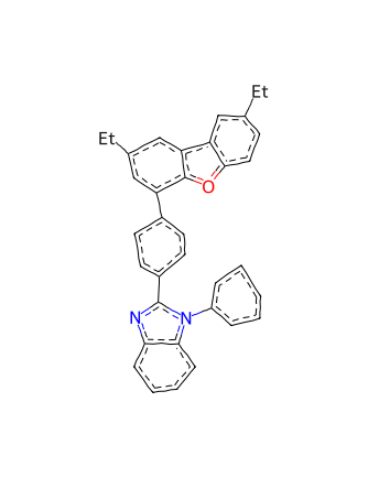 CCc1ccc2oc3c(-c4ccc(-c5nc6ccccc6n5-c5ccccc5)cc4)cc(CC)cc3c2c1